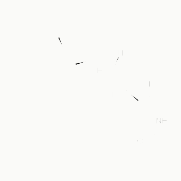 CC(=O)NC1CC[C@@]2(C)[C@@H](CC[C@@H]3[C@@H]2CC[C@]2(C)C([C@H](C)CCCC(C)C)CC[C@@H]32)C1